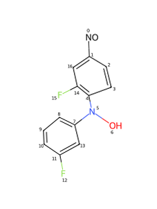 O=Nc1ccc(N(O)c2cccc(F)c2)c(F)c1